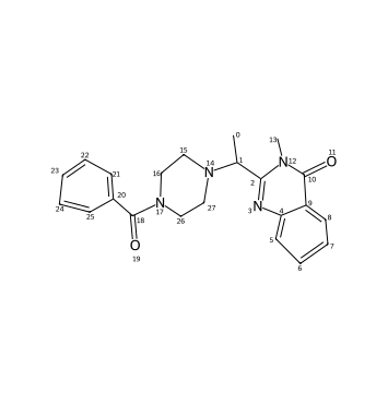 CC(c1nc2ccccc2c(=O)n1C)N1CCN(C(=O)c2ccccc2)CC1